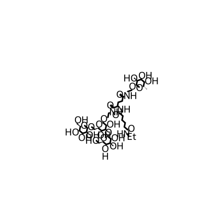 CCNC(=O)CCCCC(=O)NC(CCC(=O)NCCO[C@@H]1O[C@@H](C)[C@@H](O)[C@@H](O)[C@@H]1O)C(=O)NCCO[C@H]1O[C@H](CO[C@H]2O[C@H](CO)[C@@H](O)[C@H](O)[C@@H]2O)[C@@H](O)[C@H](O[C@H]2O[C@H](CO)[C@@H](O)[C@H](O)[C@@H]2O)[C@@H]1O